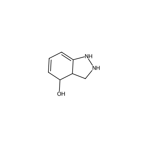 OC1C=CC=C2NNCC21